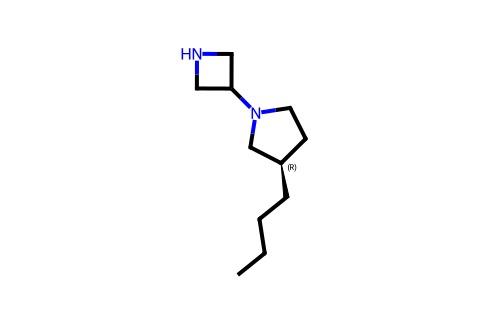 CCCC[C@@H]1CCN(C2CNC2)C1